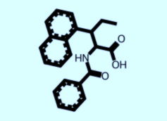 CCC(c1cccc2ccccc12)C(NC(=O)c1ccccc1)C(=O)O